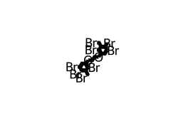 BrCc1c(Br)c(Br)cc(OCCOc2cc(Br)c(Br)c(CBr)c2Br)c1Br